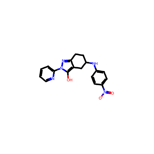 O=[N+]([O-])c1ccc(NC2CCc3nn(-c4ccccn4)c(O)c3C2)cc1